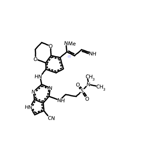 CN/C(=C\C=N)c1ccc(Nc2nc(NCCS(=O)(=O)N(C)C)c3c(C#N)c[nH]c3n2)c2c1OCCO2